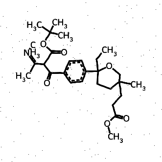 CCC1(c2ccc(C(=O)C(C(=O)OC(C)(C)C)/C(C)=N\C)cc2)CCC(C)(CCC(=O)OC)CO1